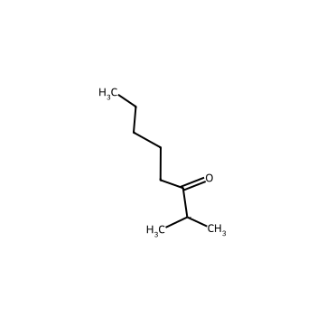 CCCCCC(=O)[C](C)C